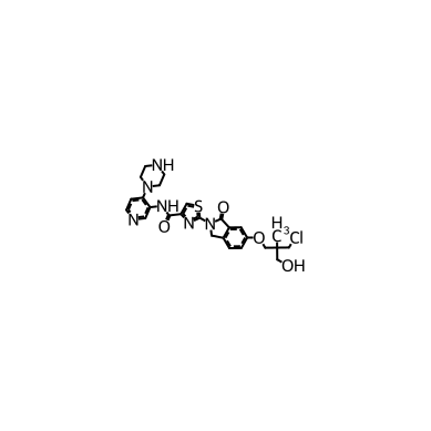 CC(CO)(CCl)COc1ccc2c(c1)C(=O)N(c1nc(C(=O)Nc3cnccc3N3CCNCC3)cs1)C2